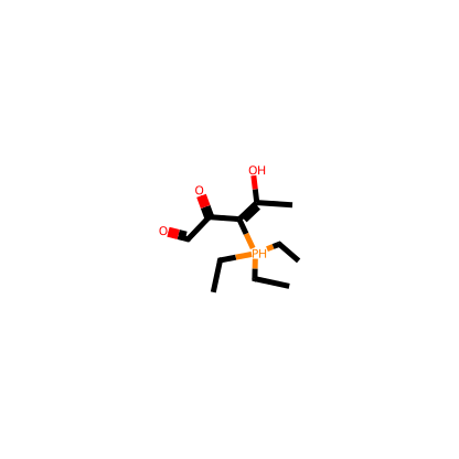 CC[PH](CC)(CC)/C(C(=O)C=O)=C(\C)O